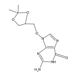 CC1(C)OCC(COn2cnc3c(=O)[nH]c(N)nc32)O1